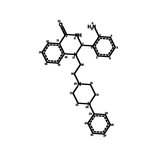 Nc1ccccc1C1NC(=O)c2ccccc2N1CCN1CCN(c2ccccc2)CC1